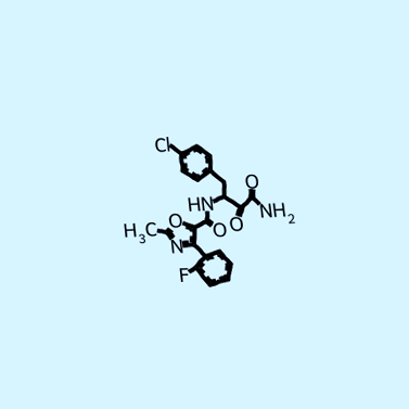 Cc1nc(-c2ccccc2F)c(C(=O)NC(Cc2ccc(Cl)cc2)C(=O)C(N)=O)o1